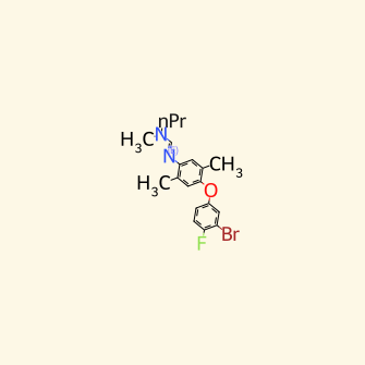 CCCN(C)/C=N/c1cc(C)c(Oc2ccc(F)c(Br)c2)cc1C